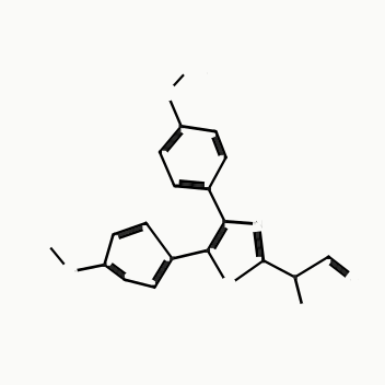 COc1ccc(-c2nc(C(C)C=O)oc2-c2ccc(OC)cc2)cc1